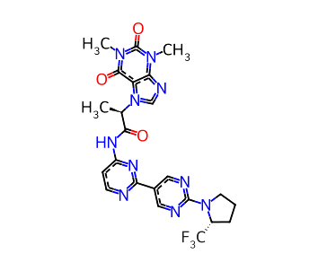 C[C@H](C(=O)Nc1ccnc(-c2cnc(N3CCC[C@@H]3C(F)(F)F)nc2)n1)n1cnc2c1c(=O)n(C)c(=O)n2C